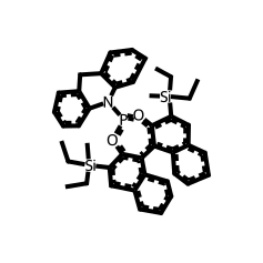 CC[Si](C)(CC)c1cc2ccccc2c2c1op(N1c3ccccc3Cc3ccccc31)oc1c([Si](C)(CC)CC)cc3ccccc3c12